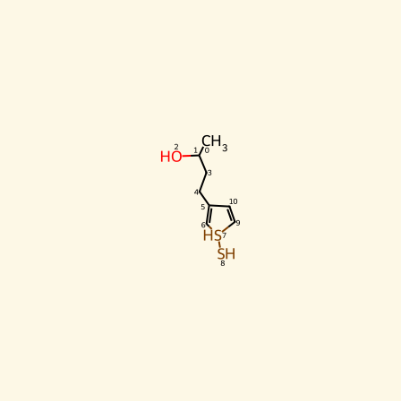 CC(O)CCC1=C[SH](S)C=C1